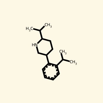 CC(C)c1ccccc1C1CCC(C(C)C)NC1